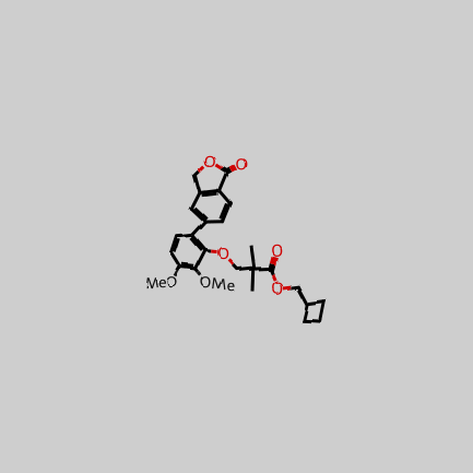 COc1ccc(-c2ccc3c(c2)COC3=O)c(OCC(C)(C)C(=O)OCC2CCC2)c1OC